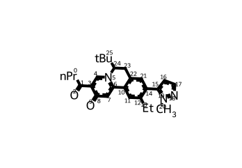 CCCC(=O)c1cn2c(cc1=O)-c1cc(CC)c(-c3ccnn3C)cc1CC2C(C)(C)C